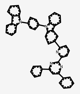 c1ccc(-c2cc(-c3ccccc3)nc(-c3cccc(-c4ccc5c(c4)c4ccccc4n5-c4ccc(-n5c6ccccc6c6ccccc65)cc4)n3)n2)cc1